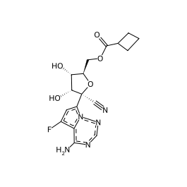 N#C[C@@]1(c2cc(F)c3c(N)ncnn23)O[C@H](COC(=O)C2CCC2)[C@@H](O)[C@H]1O